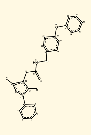 Cc1nn(-c2ccccc2)c(C)c1CC(=O)NCc1ccc(Oc2ccccc2)cc1